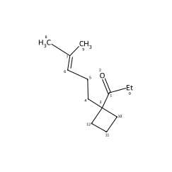 CCC(=O)C1(CCC=C(C)C)CCC1